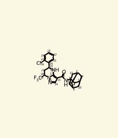 O=C(NC12CC3CC(CC(C3)C1)C2)c1cnn2c1NC(c1ccccc1Cl)CC2C(F)(F)F